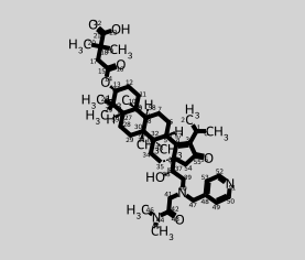 CC(C)C1=C2[C@H]3CC[C@@H]4[C@@]5(C)CC[C@H](OC(=O)CC(C)(C)C(=O)O)C(C)(C)[C@H]5CC[C@@]4(C)[C@]3(C)CC[C@@]2([C@@H](O)CN(CC(=O)N(C)C)Cc2ccncc2)CC1=O